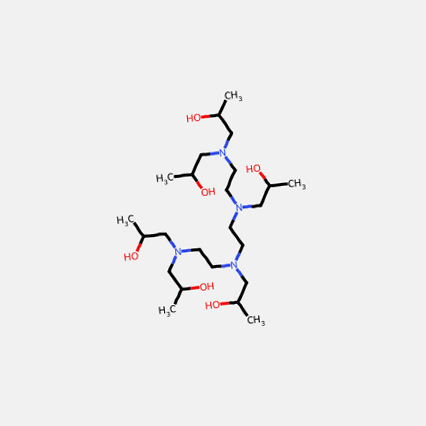 CC(O)CN(CCN(CCN(CC(C)O)CC(C)O)CC(C)O)CCN(CC(C)O)CC(C)O